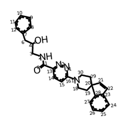 O=C(NCC(O)Cc1ccccc1)c1ccc(N2CCC3(C=Cc4ccccc43)CC2)nn1